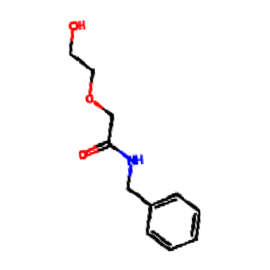 O=C(COCCO)NCc1ccccc1